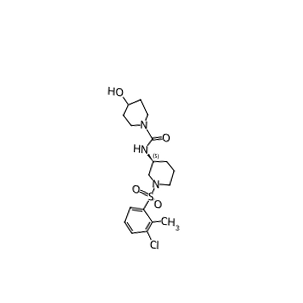 Cc1c(Cl)cccc1S(=O)(=O)N1CCC[C@H](NC(=O)N2CCC(O)CC2)C1